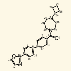 O=C(c1ccc(-c2ccc(-c3ncco3)cc2)cc1)N1CCCN(C2CCC2)CC1